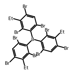 CCc1c(Br)cc(Br)c(B(c2c(Br)cc(Br)c(CC)c2Br)c2c(Br)cc(Br)c(CC)c2Br)c1Br